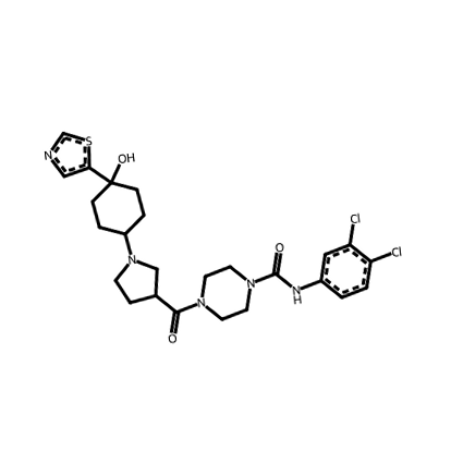 O=C(Nc1ccc(Cl)c(Cl)c1)N1CCN(C(=O)C2CCN(C3CCC(O)(c4cncs4)CC3)C2)CC1